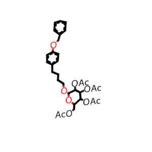 CC(=O)OCC1OC(OCCCCc2ccc(OCc3ccccc3)cc2)C(OC(C)=O)C(OC(C)=O)C1OC(C)=O